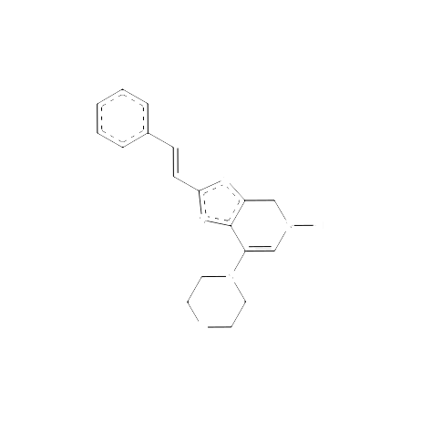 ClN1C=C(N2CCOCC2)c2nc(C=Cc3ccccc3)sc2C1